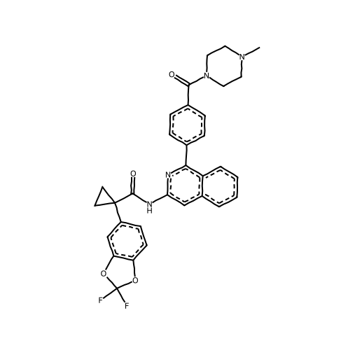 CN1CCN(C(=O)c2ccc(-c3nc(NC(=O)C4(c5ccc6c(c5)OC(F)(F)O6)CC4)cc4ccccc34)cc2)CC1